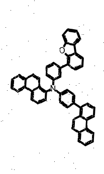 c1cc(-c2cccc3c2oc2ccccc23)cc(N(c2ccc(-c3cccc4c3ccc3ccccc34)cc2)c2cccc3c2ccc2ccccc23)c1